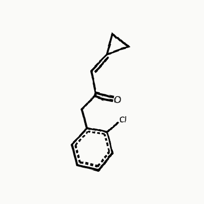 O=C(C=C1CC1)Cc1ccccc1Cl